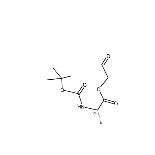 C[C@H](NC(=O)OC(C)(C)C)C(=O)OCC=O